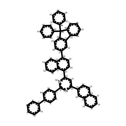 c1ccc(-c2ccc(-c3nc(-c4ccc5ccccc5c4)cc(-c4ccc(-c5ccc6c(c5)-c5ccccc5C6(c5ccccc5)c5ccccc5)c5ccccc45)n3)cc2)cc1